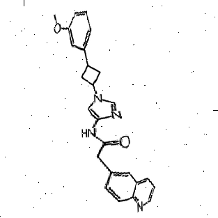 COc1cccc(C2CC(n3cnc(NC(=O)Cc4ccc5ncccc5c4)c3)C2)c1